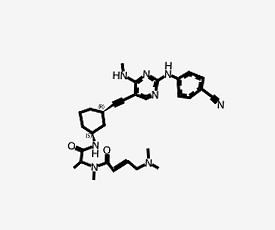 CNc1nc(Nc2ccc(C#N)cc2)ncc1C#C[C@@H]1CCC[C@H](NC(=O)C(C)N(C)C(=O)C=CCN(C)C)C1